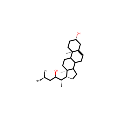 CCC[C@H](C[C@@H](O)[C@@H](C)[C@H]1CCC2C3CC=C4C[C@@H](O)CC[C@]4(C)C3CC[C@@]21C)C(C)C